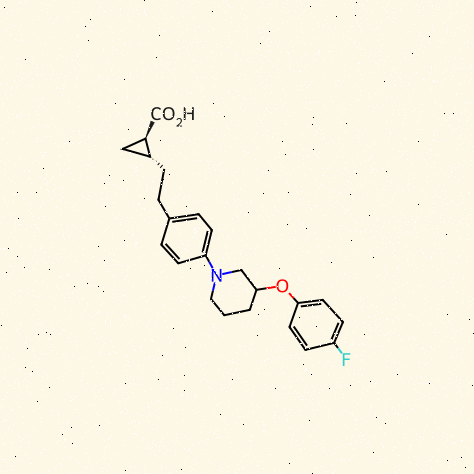 O=C(O)[C@@H]1C[C@H]1CCc1ccc(N2CCCC(Oc3ccc(F)cc3)C2)cc1